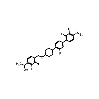 CCOc1ccc(-c2ccc(C3CCC(OCc4ccc(C(C)O)c(F)c4F)CC3)c(F)c2)c(F)c1F